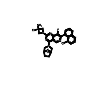 CCC1(N)CN(c2nc(N3CC4CCC(C3)N4)c3cnc(-c4cccc5cccc(Cl)c45)c(F)c3n2)C1